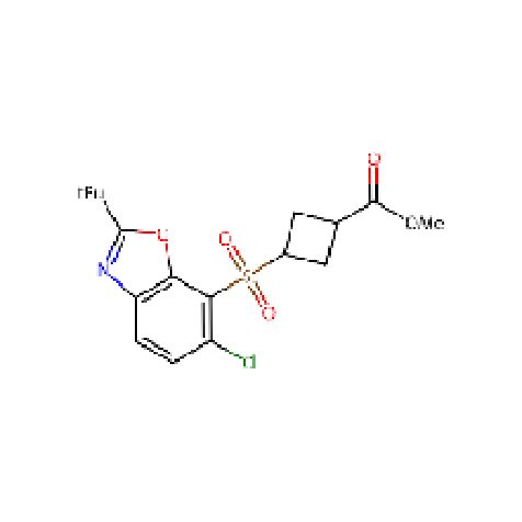 COC(=O)C1CC(S(=O)(=O)c2c(Cl)ccc3nc(C(C)(C)C)oc23)C1